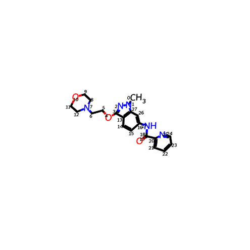 Cn1nc(OCCN2CCOCC2)c2ccc(NC(=O)c3ccccn3)cc21